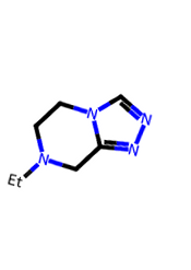 CCN1CCn2cnnc2C1